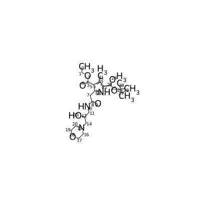 CCOC(=O)c1c(CC(=O)NC[C@H](O)CN2CCOCC2)[nH]c(C(=O)OC(C)(C)C)c1C